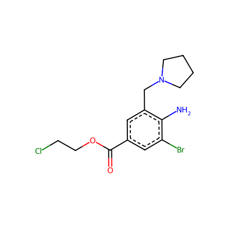 Nc1c(Br)cc(C(=O)OCCCl)cc1CN1CCCC1